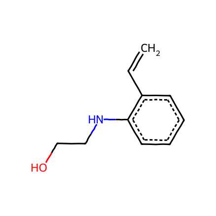 C=Cc1ccccc1NCCO